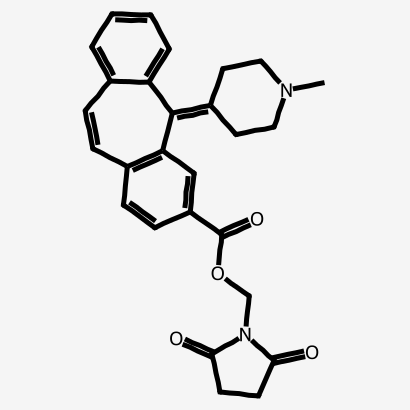 CN1CCC(=C2c3ccccc3C=Cc3ccc(C(=O)OCN4C(=O)CCC4=O)cc32)CC1